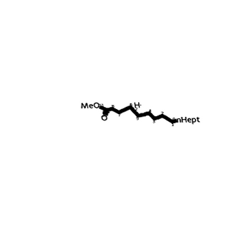 CCCCCCCCCCCCCCCC(=O)OC.[H]